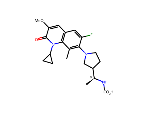 COc1cc2cc(F)c(N3CCC([C@H](C)NC(=O)O)C3)c(C)c2n(C2CC2)c1=O